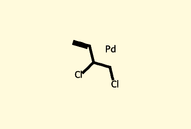 C=CC(Cl)CCl.[Pd]